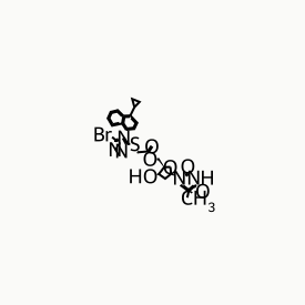 Cc1cn([C@H]2C[C@H](O)[C@@H](COC(=O)CSc3nnc(Br)n3-c3ccc(C4CC4)c4ccccc34)O2)c(=O)[nH]c1=O